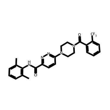 Cc1cccc(C)c1NC(=O)c1ccc(N2CCN(C(=O)c3ccccc3C(F)(F)F)CC2)nn1